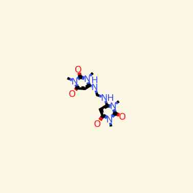 Cn1c(NCNc2cc(=O)n(C)c(=O)n2C)cc(=O)n(C)c1=O